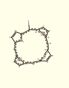 Ic1c2nc(cc3ccc(cc4nc(cc5ccc1[nH]5)C=C4)[nH]3)C=C2